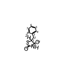 [2H]C1(Cc2ccccc2)SC(=O)NC1=O